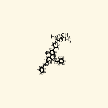 CC(C)(C)OC(=O)N1CCC(c2cc(F)c(-c3ccc(OCc4ccccc4)nc3OCc3ccccc3)c(F)c2)CC1